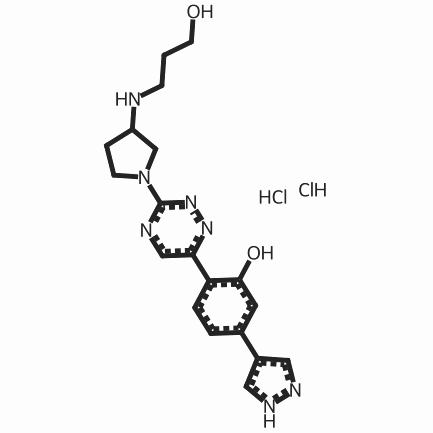 Cl.Cl.OCCCNC1CCN(c2ncc(-c3ccc(-c4cn[nH]c4)cc3O)nn2)C1